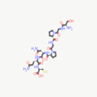 NC(=O)CC[C@H](NC(=O)[C@H](CC(N)=O)NC(=O)[C@@H]1CCCN1C(=O)CNC(=O)[C@@H]1CCCN1C(=O)CNC(=O)[C@@H](N)CO)C(=O)N[C@@H](CS)C(=O)O